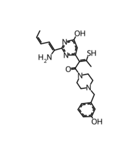 C/C=C\C=C(/N)c1nc(O)cc(/C(C(=O)N2CCN(Cc3cccc(O)c3)CC2)=C(/C)S)n1